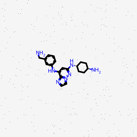 NCc1cccc(Nc2cc(N[C@H]3CC[C@H](N)CC3)nn3ccnc23)c1